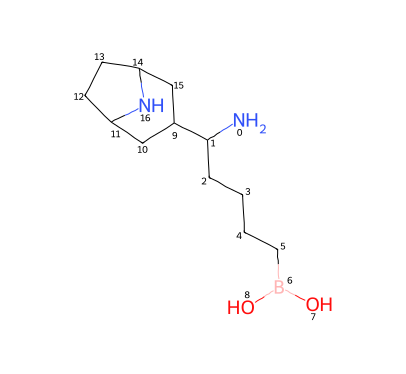 NC(CCCCB(O)O)C1CC2CCC(C1)N2